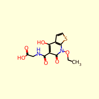 CCOn1c(=O)c(C(=O)NCC(=O)O)c(O)c2ccsc21